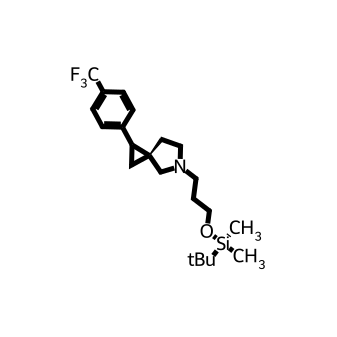 CC(C)(C)[Si](C)(C)OCCCN1CC[C@]2(CC2c2ccc(C(F)(F)F)cc2)C1